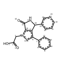 O=C(O)Cn1nc(-c2ccccc2)c2c1C(=O)NC2c1cccnc1